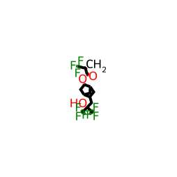 C=C(C(=O)OC1CC2CC1CC2CC(O)(C(F)(F)F)C(F)(F)F)C(F)(F)F